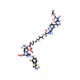 Cc1ncsc1-c1ccc(CNC(=O)[C@@H]2C[C@@H](O)CN2C(=O)[C@@H](NC(=O)CCCCCCCCCCC(=O)Nc2cc3cc(-c4cncc(N(C)C(=O)OC(C)C)c4)ccn3n2)C(C)(C)C)cc1